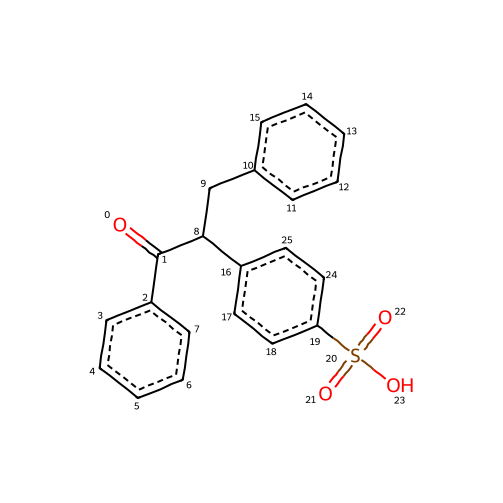 O=C(c1ccccc1)C(Cc1ccccc1)c1ccc(S(=O)(=O)O)cc1